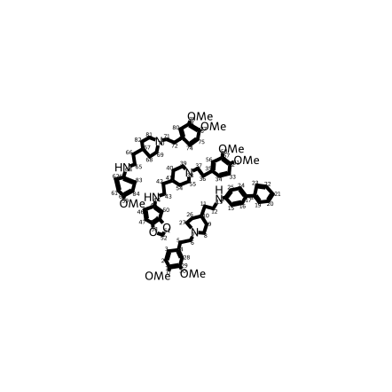 COc1ccc(CCN2CCC(CCNc3ccc(-c4ccccc4)cc3)CC2)cc1OC.COc1ccc(CCN2CCC(CCNc3ccc4c(c3)OCO4)CC2)cc1OC.COc1ccc(NCCC2CCN(CCc3ccc(OC)c(OC)c3)CC2)cc1